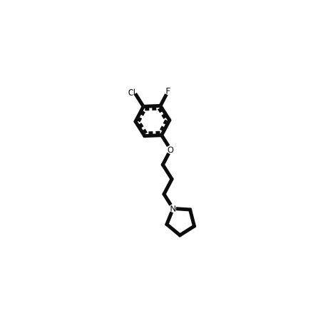 Fc1cc(OCCCN2CCCC2)ccc1Cl